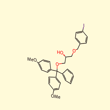 COc1ccc(C(OC[C@@H](O)COCc2ccc(I)cc2)(c2ccccc2)c2ccc(OC)cc2)cc1